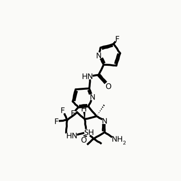 CC1(C)C(N)=N[C@](C)(c2nc(NC(=O)c3ccc(F)cn3)ccc2F)[C@H]2CC(F)(F)CN[SH]21=O